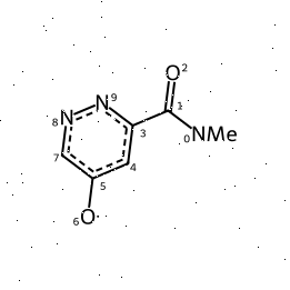 CNC(=O)c1cc([O])cnn1